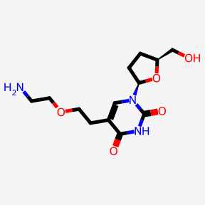 NCCOCCc1cn([C@H]2CC[C@@H](CO)O2)c(=O)[nH]c1=O